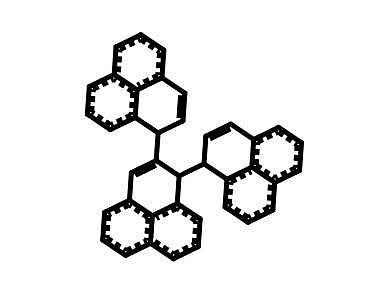 C1=CC(C2=Cc3cccc4cccc(c34)C2C2C=Cc3cccc4cccc2c34)c2cccc3cccc1c23